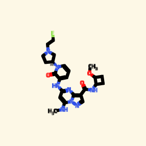 CNc1cc(Nc2cccn([C@H]3CCN(CCF)C3)c2=O)nc2c(C(=O)NC3CCC3OC)cnn12